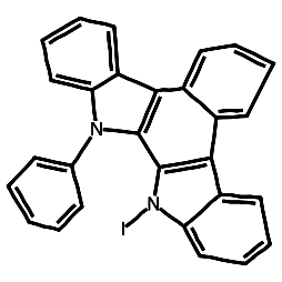 In1c2ccccc2c2c3ccccc3c3c4ccccc4n(-c4ccccc4)c3c21